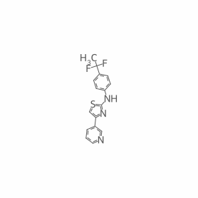 CC(F)(F)c1ccc(Nc2nc(-c3cccnc3)cs2)cc1